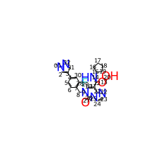 Cn1cc(-c2ccc(Cn3cc(C(=O)N[C@H]4CCC[C@@H]4O)c4nccn4c3=O)c(F)c2)cn1